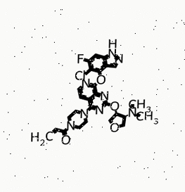 C=CC(=O)N1CCN(c2nc(O[C@@H]3COC[C@H]3N(C)C)nc3c(Oc4c(Cl)c(F)cc5[nH]ncc45)nccc23)CC1